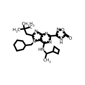 CC(Nc1nc(-c2noc(=O)[nH]2)nc2nc(CC(C)(C)C)n(CC3CCCCC3)c12)C1CCC1